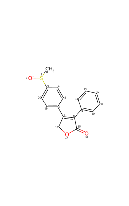 C[S+]([O-])c1ccc(C2=C(c3ccccc3)C(=O)OC2)cc1